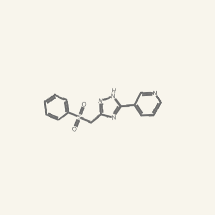 O=S(=O)(Cc1n[nH]c(-c2cccnc2)n1)c1ccccc1